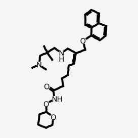 CN(C)CC(C)(C)CNC/C(=C\CCCCC(=O)NOC1CCCCO1)COc1cccc2ccccc12